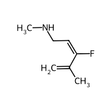 C=C(C)/C(F)=C\CNC